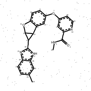 CNC(=O)c1cc(Oc2ccc3c(c2)C2C(O3)C2c2nc3ccc(C)cc3[nH]2)ccn1